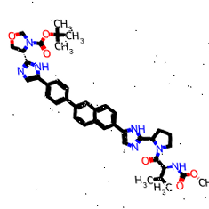 COC(=O)N[C@H](C(=O)N1CCCC1c1ncc(-c2ccc3cc(-c4ccc(-c5cnc([C@@H]6COCN6C(=O)OC(C)(C)C)[nH]5)cc4)ccc3c2)[nH]1)C(C)C